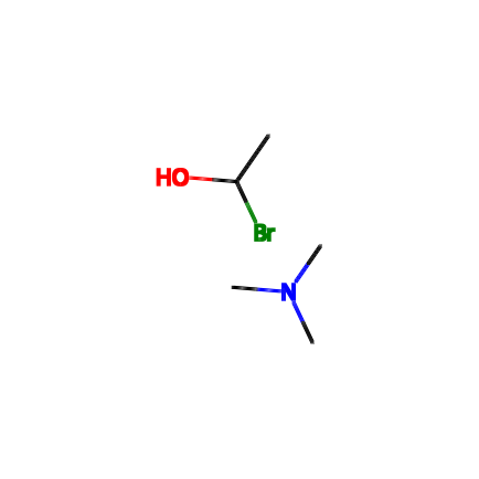 CC(O)Br.CN(C)C